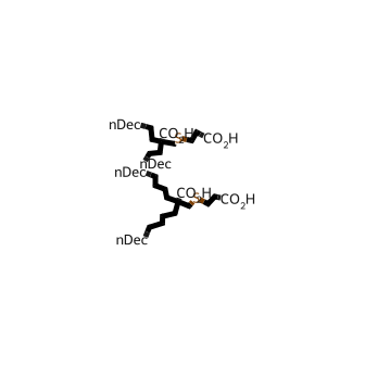 CCCCCCCCCCCCC(CCCCCCCCCCCC)(CSCCC(=O)O)C(=O)O.CCCCCCCCCCCCCCC(CCCCCCCCCCCCCC)(CSCCC(=O)O)C(=O)O